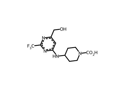 O=C(O)N1CCC(Nc2cc(CO)nc(C(F)(F)F)n2)CC1